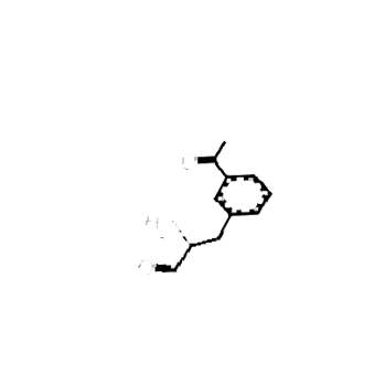 CC(=O)c1cccc(C[C@H](N)C=O)c1